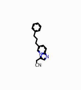 N#CCc1cnc2ccc(CCCc3ccccc3)cn12